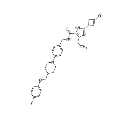 CCc1nc(C2C=C(Cl)C2)[nH]c1C(=O)NCc1ccc(N2CCC(COc3ccc(F)cc3)CC2)cc1